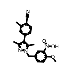 COc1ccc(Cn2nc(C)c(-c3ccc(C#N)c(C)c3)c2C)cc1[N+](=O)O